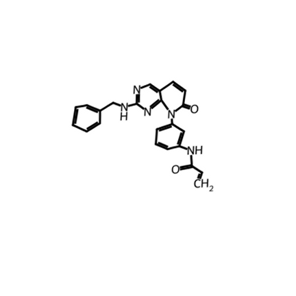 C=CC(=O)Nc1cccc(-n2c(=O)ccc3cnc(NCc4ccccc4)nc32)c1